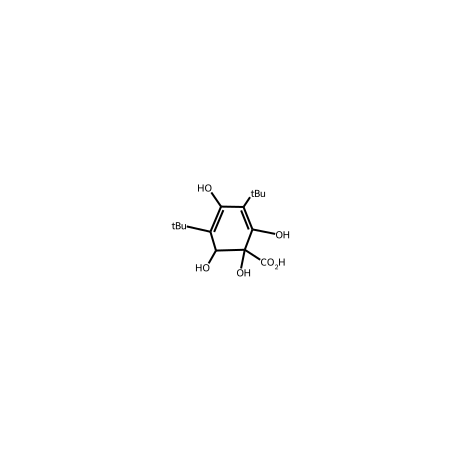 CC(C)(C)C1=C(O)C(O)(C(=O)O)C(O)C(C(C)(C)C)=C1O